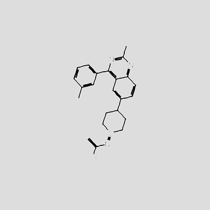 C=C(N=S1CCC(c2ccc3nc(C)nc(-c4cccc(C)c4)c3c2)CC1)C(F)(F)F